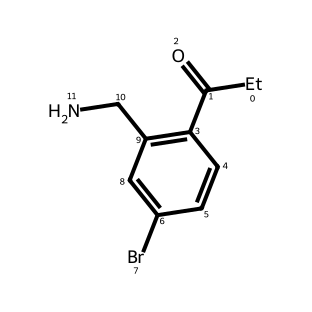 CCC(=O)c1ccc(Br)cc1CN